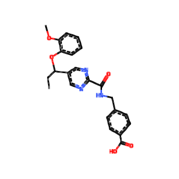 CCC(Oc1ccccc1OC)c1cnc(C(=O)NCc2ccc(C(=O)O)cc2)nc1